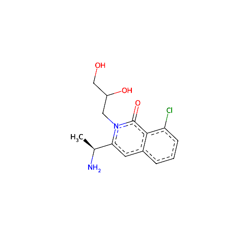 C[C@H](N)c1cc2cccc(Cl)c2c(=O)n1CC(O)CO